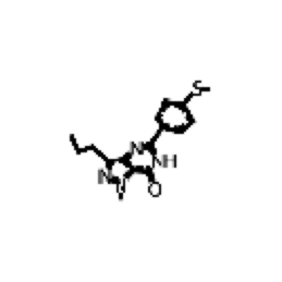 CCCc1nn(C)c2c(=O)[nH]c(-c3ccc(SC)cc3)nc12